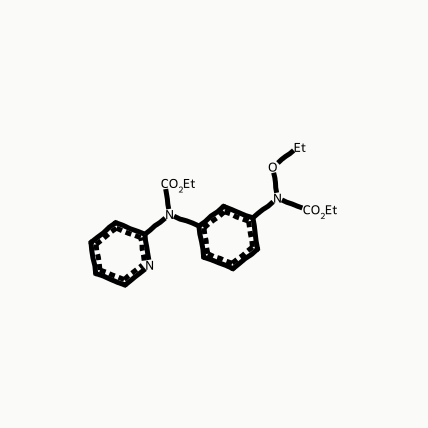 CCOC(=O)N(OCC)c1cccc(N(C(=O)OCC)c2ccccn2)c1